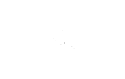 Cl.Cl.[Fe].[Ti]